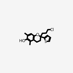 Cc1cc2c(c(C)c1O)CCC(CCCCl)(c1cccs1)O2